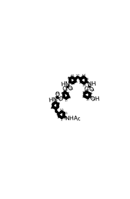 CC(=O)Nc1ccc(Cc2ccc(NC(=O)Oc3cccc(OC(=O)Nc4ccc(Cc5ccc(NC(=O)Oc6cccc(O)c6)cc5)cc4)c3)cc2)cc1